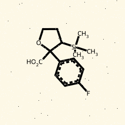 C[Si](C)(C)C1CCOC1(C(=O)O)c1ccc(F)cc1